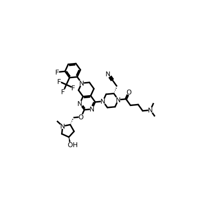 CN(C)CCCC(=O)N1CCN(c2nc(OC[C@@H]3C[C@@H](O)CN3C)nc3c2CCN(c2cccc(F)c2C(F)(F)F)C3)C[C@@H]1CC#N